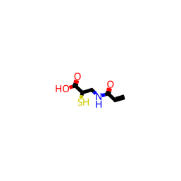 C=CC(=O)NCC(S)C(=O)O